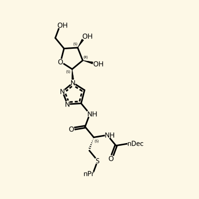 [CH2][CH]CSC[C@@H](NC(=O)CCCCCCCCCC)C(=O)Nc1cn([C@H]2OC(CO)[C@@H](O)[C@H]2O)nn1